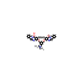 COc1cc2c(cc1OCc1cc(COc3cc4c(cc3OC)C(O)N3Cc5ccccc5C[C@H]3C=N4)cc(CN(C)C)c1)N=C[C@@H]1Cc3ccccc3CN1C2=O